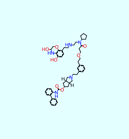 O=C(Nc1ccccc1-c1ccccc1)OC1C[C@@H]2CN(CCc3cccc(CCOCCC(=O)N(CCNCCc4ccc(O)c5c4OCC(O)N5)C4CCCC4)c3)C[C@@H]2C1